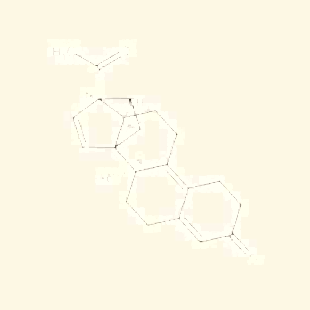 CC(=O)[C@]12C=CC3(CC1)[C@@H]1CCC4=CC(=O)CCC4=C1CC[C@@]32C